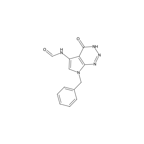 O=CNc1cn(Cc2ccccc2)c2nn[nH]c(=O)c12